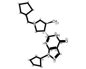 C[C@@H]1CN(CC2CCCC2)C[C@H]1c1nc2c(cnn2C2CCCC2)c(=O)[nH]1